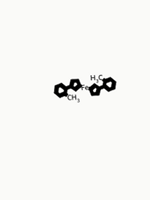 Cc1ccccc1C1=CC[C]([Fe][C]2=CC(c3ccccc3C)=CC2)=C1